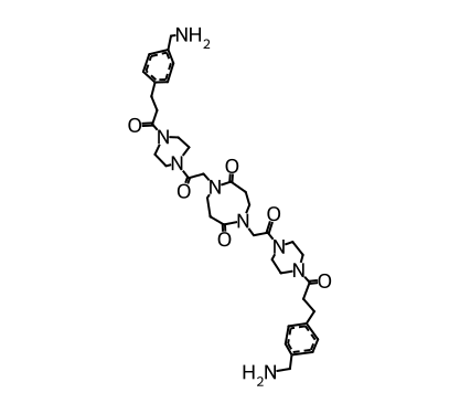 NCc1ccc(CCC(=O)N2CCN(C(=O)CN3CCC(=O)N(CC(=O)N4CCN(C(=O)CCc5ccc(CN)cc5)CC4)CCC3=O)CC2)cc1